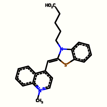 C[n+]1ccc(/C=C2\Sc3ccccc3N2CCCCC(=O)O)c2ccccc21